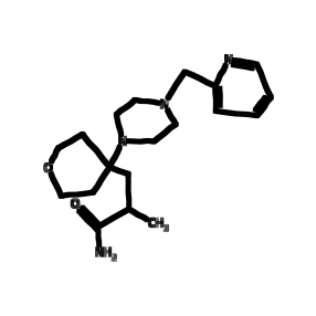 CC(CC1(N2CCN(Cc3ccccn3)CC2)CCOCC1)C(N)=O